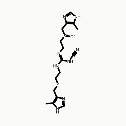 Cc1[nH]cnc1CSCCN/C(=N/CC[S+]([O-])Cc1nc[nH]c1C)NC#N